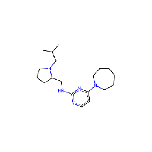 CC(C)CN1CCCC1CNc1nccc(N2CCCCCC2)n1